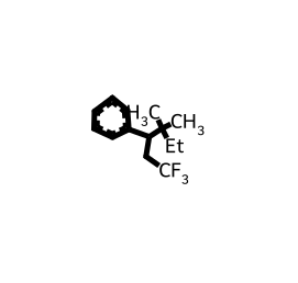 CCC(C)(C)C(CC(F)(F)F)c1ccccc1